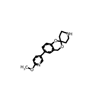 COc1ccc(-c2ccc3c(c2)COC2(CCNCC2)O3)cn1